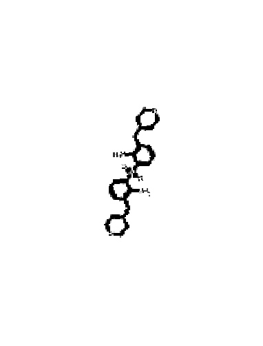 Nc1c(CC2CCOCC2)cccc1S(=O)(=O)c1cccc(CC2CCOCC2)c1N